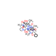 CC[C@H](C)[C@H](NC)C(=O)N[C@@H](C)C(=O)N(C)[C@@H](Cc1ccccc1)C(=O)N(C)[C@H](C(=O)N[C@@H](CC(=O)N(C)[C@@H](C)C(=O)O)C(=O)N1CCCCC1)C(C)C